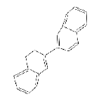 C1=C(c2ccc3ccccc3c2)CCc2ccccc21